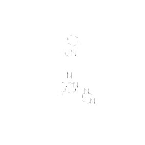 Cn1c(N2CCC(C(=O)N3CCCc4ccccc43)CC2)nc(-c2ccncn2)cc1=O